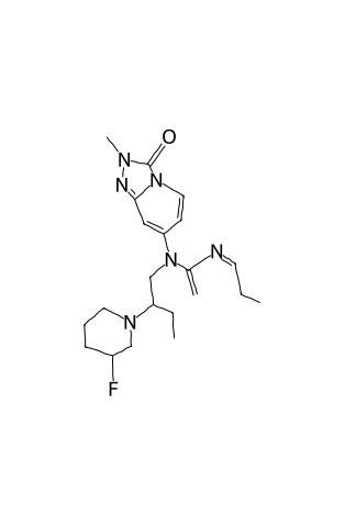 C=C(/N=C\CC)N(CC(CC)N1CCCC(F)C1)c1ccn2c(=O)n(C)nc2c1